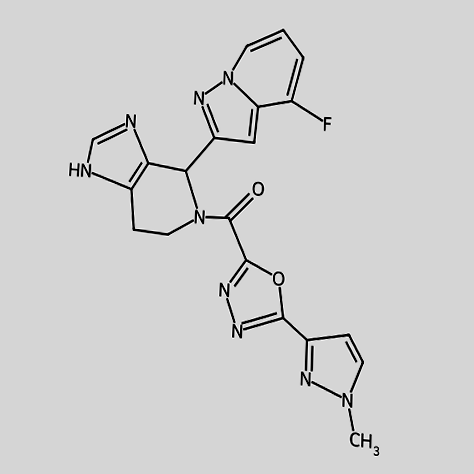 Cn1ccc(-c2nnc(C(=O)N3CCc4[nH]cnc4C3c3cc4c(F)cccn4n3)o2)n1